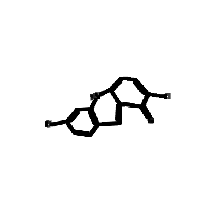 O=c1c(Cl)ccc2[nH]c3cc(Cl)ccc3cc1-2